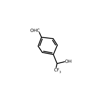 O=Cc1ccc(C(O)C(F)(F)F)cc1